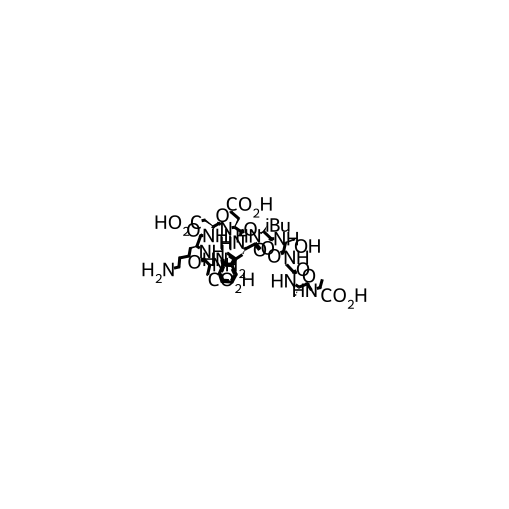 CC[C@H](C)[C@H](NC(=O)[C@H](Cc1c[nH]c2ccccc12)NC(=O)[C@H](CCC(=O)O)NC(=O)[C@H](CC(=O)O)NC(=O)[C@H](CCCCN)NC(=O)[C@@H](N)CC(=O)O)C(=O)N[C@@H](CO)C(=O)NCC(=O)N[C@@H](C)C(=O)N[C@@H](C)C(=O)O